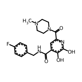 CN1CCN(C(=O)c2cc(C(=O)NCc3ccc(F)cc3)c(O)c(O)n2)CC1